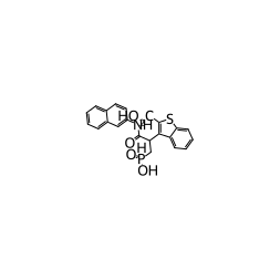 O=C(O)c1sc2ccccc2c1C(C[PH](=O)O)C(=O)Nc1ccc2ccccc2c1